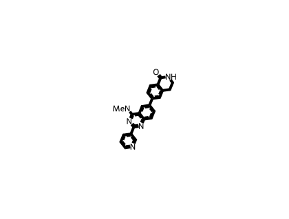 CNc1nc(-c2cccnc2)nc2ccc(-c3ccc4c(c3)CCNC4=O)cc12